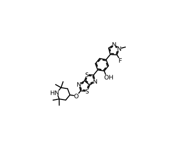 Cn1ncc(-c2ccc(-c3nc4sc(OC5CC(C)(C)NC(C)(C)C5)nc4s3)c(O)c2)c1F